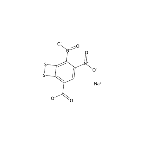 O=C([O-])c1cc([N+](=O)[O-])c([N+](=O)[O-])c2ssc12.[Na+]